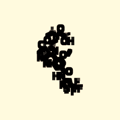 CCOc1cc(C(=O)Nc2cc(C(F)(F)F)n(C)n2)ccc1-c1nc([C@H]2CN(C(=O)[C@H](C)O)[C@@H](C)CO2)n2c(Cl)cnc(N)c12